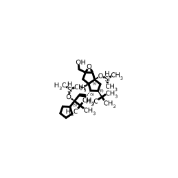 C[SiH](C)O[C@@]12C[C@@H](C(C)(C)C)[C@H](C=C[C@@](O[SiH](C)C)(C3CCCC3)C(C)(C)C)[C@@H]1CC1(CO)OC12